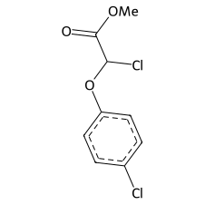 COC(=O)C(Cl)Oc1ccc(Cl)cc1